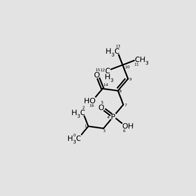 CC(C)CP(=O)(O)C/C(=C/C(C)(C)C)C(=O)O